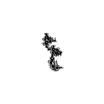 C=CCOC(=O)N[C@H](C(=O)N[C@@H](C)C(=O)Nc1ccc(COC(=O)N2c3cc(OCCCCCOc4cc5c(cc4OC)C(=O)N4CC6(CC6)C[C@H]4[C@H](O)N5C(=O)OCC=C)c(OC)cc3C(=O)N3CC4(CC4)C[C@H]3[C@@H]2O)cc1)C(C)C